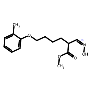 COC(=O)C(/C=N\O)CCCCOc1ccccc1C